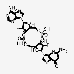 NC1=Nc2c(ncn2[C@@H]2O[C@@H]3CO[P@@](=O)(S)O[C@H]4[C@@H](F)[C@H](n5cnc6c(N)ncnc65)O[C@@H]4CO[P@@](=O)(S)O[C@H]3[C@H]2F)C(=O)C1